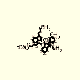 C=CCCC1=CC([Si](C)(CCCCCCOC(C)(C)C)C2c3ccccc3-c3c2c2cc(C)ccc2n3C)c2ccccc21